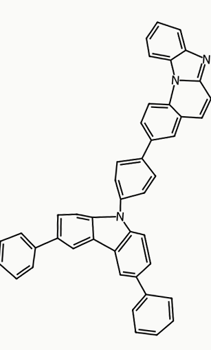 c1ccc(-c2ccc3c(c2)c2cc(-c4ccccc4)ccc2n3-c2ccc(-c3ccc4c(ccc5nc6ccccc6n54)c3)cc2)cc1